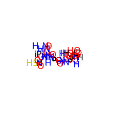 CC(C)[C@H](NC(=O)CCCN1C(=O)CC(S)C1=O)C(=O)N[C@@H](CCCNC(N)=O)C(=O)Nc1ccc(COC(=O)NCC(=O)Nc2ccc3c(c2)C(=O)c2c(O)cc4c(c2C3=O)N[C@H]2/C=C\C#C[C@@H](O)[C@@]43O[C@@]23[C@@H](C)O)cc1